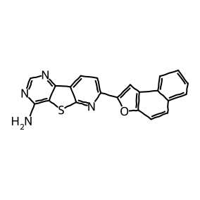 Nc1ncnc2c1sc1nc(-c3cc4c(ccc5ccccc54)o3)ccc12